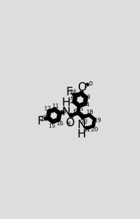 COc1ccc(/C(C(=O)Nc2ccc(F)cc2)=C2\CCCCN2)cc1F